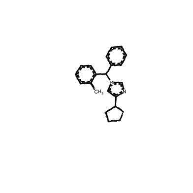 Cc1ccccc1C(c1ccccc1)n1cnc(C2CCCC2)c1